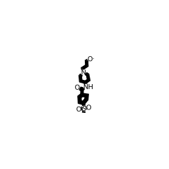 CS(=O)(=O)c1ccc(C(=O)NC2CCN(CCC[O])CC2)cc1